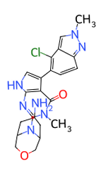 Cn1cc2c(Cl)c(-c3c[nH]c4nc(N5C6COCC5CC(N)C6)n(C)c(=O)c34)ccc2n1